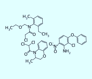 CC1COc2ccccc2N1C(=O)C(Cl)Cl.CCOCN(C(=O)CCl)c1c(C)cccc1CC.Nc1c([N+](=O)[O-])ccc(Oc2ccccc2)c1Cl